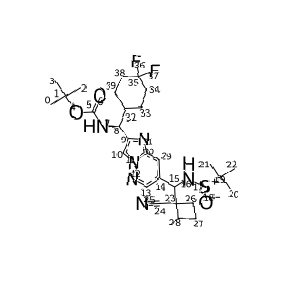 CC(C)(C)OC(=O)N[C@H](c1cn2ncc(C(N[S+]([O-])C(C)(C)C)C3(C#N)CCC3)cc2n1)C1CCC(F)(F)CC1